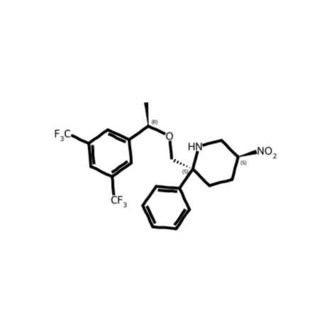 C[C@@H](OC[C@@]1(c2ccccc2)CC[C@H]([N+](=O)[O-])CN1)c1cc(C(F)(F)F)cc(C(F)(F)F)c1